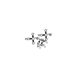 NN.NN.[O-][Cl+3]([O-])([O-])O.[O-][Cl+3]([O-])([O-])O